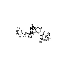 COc1ccc(CC(OC(C)C)C(=O)O)cc1CNC(=O)/C=C/c1ccccc1